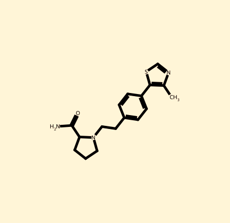 Cc1ncsc1-c1ccc(CCN2CCCC2C(N)=O)cc1